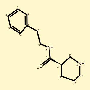 O=C(NCCc1ccccc1)[C@@H]1CCCNC1